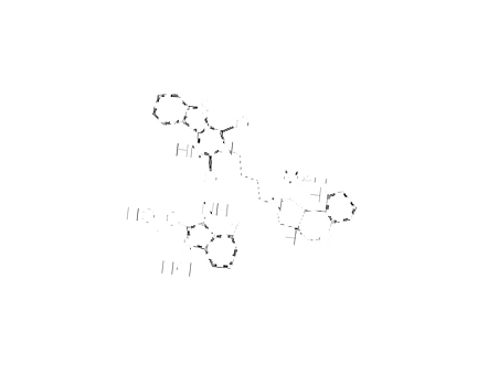 COc1cccc2c1[C@@H]1CN(CCCCn3c(=O)[nH]c4c(sc5ccccc54)c3=O)C[C@H]1CO2.Cc1cccc2sc(C(=O)O)c(N)c12.Cl